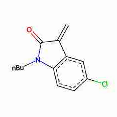 C=C1C(=O)N(CCCC)c2ccc(Cl)cc21